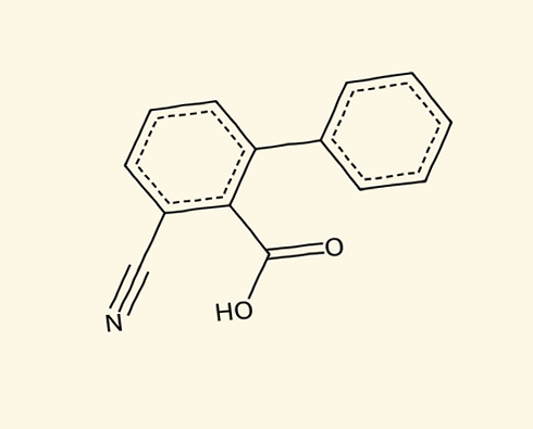 N#Cc1cccc(-c2ccccc2)c1C(=O)O